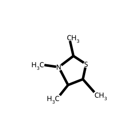 CC1SC(C)N(C)C1C